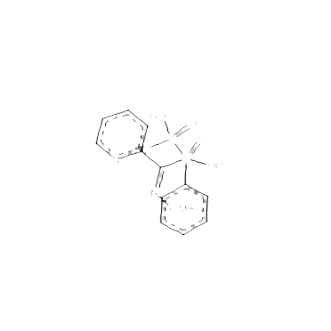 CON=C(c1ccccn1)S(=O)(O)(c1ccccc1)P(=O)(O)O